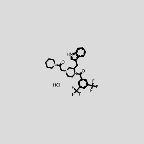 Cl.O=C(CN1CCN(C(=O)c2cc(C(F)(F)F)cc(C(F)(F)F)c2)C(Cc2c[nH]c3ccccc23)C1)N1CCCCC1